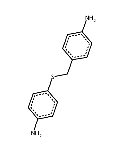 Nc1ccc(CSc2ccc(N)cc2)cc1